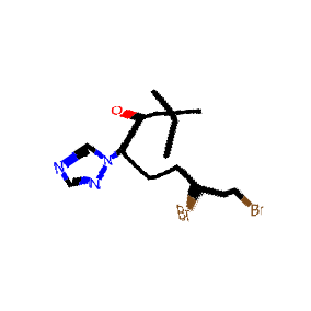 CC(C)(C)C(=O)C(CCC(Br)CBr)n1cncn1